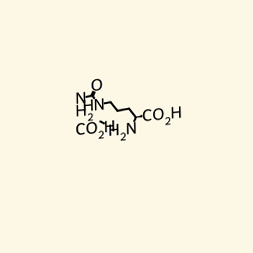 CC(=O)O.NC(=O)NCCC[C@H](N)C(=O)O